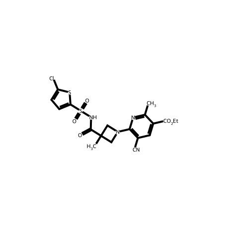 CCOC(=O)c1cc(C#N)c(N2CC(C)(C(=O)NS(=O)(=O)c3ccc(Cl)s3)C2)nc1C